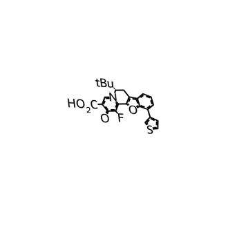 CC(C)(C)[C@@H]1Cc2c(oc3c(-c4ccsc4)cccc23)-c2c(F)c(=O)c(C(=O)O)cn21